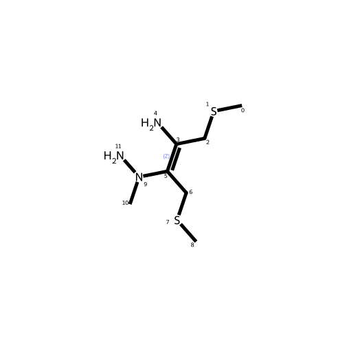 CSC/C(N)=C(\CSC)N(C)N